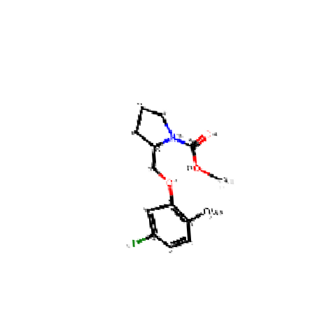 COc1ccc(F)cc1OCC1CCCN1C(=O)OC(C)(C)C